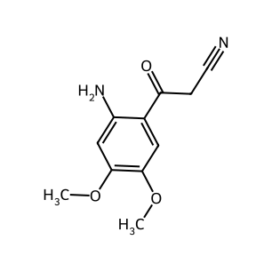 COc1cc(N)c(C(=O)CC#N)cc1OC